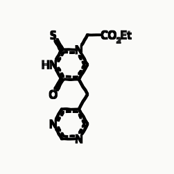 CCOC(=O)Cn1cc(Cc2cncnc2)c(=O)[nH]c1=S